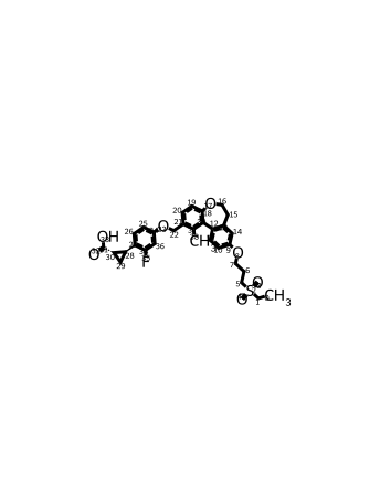 CCS(=O)(=O)CCCOc1ccc2c(c1)CCOc1ccc(COc3ccc([C@H]4C[C@@H]4C(=O)O)c(F)c3)c(C)c1-2